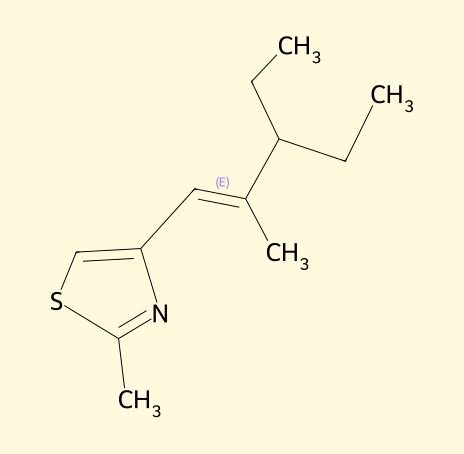 CCC(CC)/C(C)=C/c1csc(C)n1